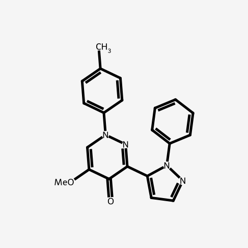 COc1cn(-c2ccc(C)cc2)nc(-c2ccnn2-c2ccccc2)c1=O